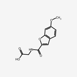 COc1ccc2cc(C(=O)NCC(=O)O)oc2c1